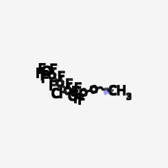 C/C=C/CCc1ccc(-c2cc(F)c(C(F)(F)Oc3cc(F)c(-c4cc(F)c(-c5cc(F)c(OC(F)(F)F)c(F)c5)c(F)c4)c(Cl)c3)c(F)c2)cc1